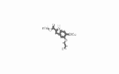 CCCCOC(=O)c1cc2cc(OCCCl)c(OC)cc2[nH]1